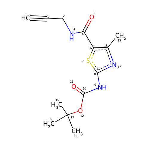 C#CCNC(=O)c1sc(NC(=O)OC(C)(C)C)nc1C